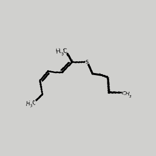 CC/C=C\C=C(/C)SCCCC